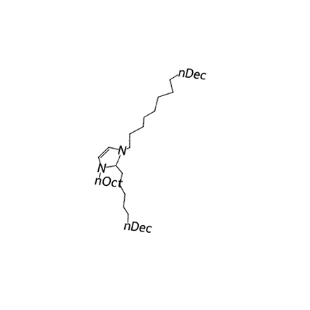 CCCCCCCCCCCCCCCCCCN1C=CN(CCCCCCCC)C1CCCCCCCCCCCCCCC